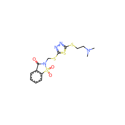 CN(C)CCSc1nnc(SCN2C(=O)c3ccccc3S2(=O)=O)s1